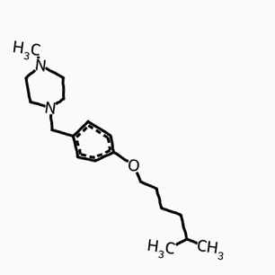 CC(C)CCCCOc1ccc(CN2CCN(C)CC2)cc1